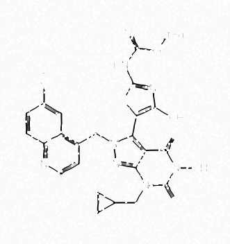 Cc1nc(NC(=O)OC(C)(C)C)sc1-c1c2c(=O)n(C)c(=O)n(CC3CC3)c2nn1Cc1ccnc2ccc(Cl)cc12